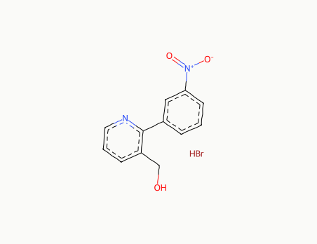 Br.O=[N+]([O-])c1cccc(-c2ncccc2CO)c1